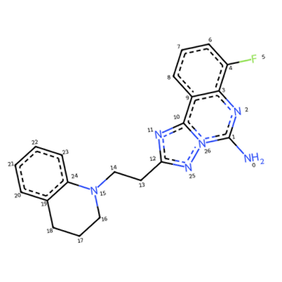 Nc1nc2c(F)cccc2c2nc(CCN3CCCc4ccccc43)nn12